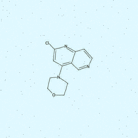 Clc1cc(N2CCOCC2)c2cnccc2n1